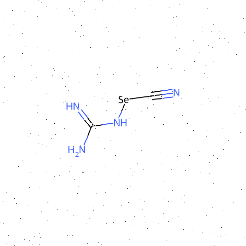 N#C[Se]NC(=N)N